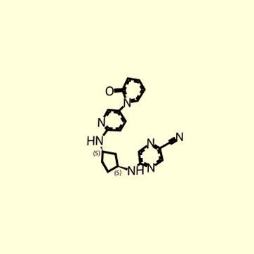 N#Cc1cnc(N[C@H]2CC[C@H](Nc3ccc(-n4ccccc4=O)cn3)C2)cn1